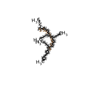 CCCCCCc1ccsc1-c1ccc(-c2ccc(-c3sc(-c4cc(CCCCCC)c(-c5ccc(-c6ccc(-c7sc(-c8ccc(/C=C/c9ccc(C)cc9)cc8)cc7CCCCCC)s6)s5)s4)cc3CCCCCC)s2)s1